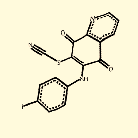 N#CSC1=C(Nc2ccc(I)cc2)C(=O)c2cccnc2C1=O